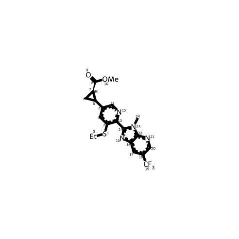 CCSc1cc(C2C[C@H]2C(=O)OC)cnc1-c1nc2cc(C(F)(F)F)cnc2n1C